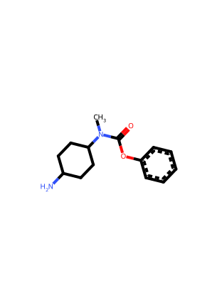 CN(C(=O)Oc1ccccc1)C1CCC(N)CC1